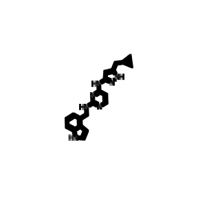 c1cc(CNc2nccc(Nc3cc(CC4CC4)[nH]n3)n2)c2cc[nH]c2c1